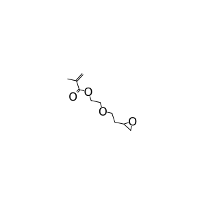 C=C(C)C(=O)OCCOCCC1CO1